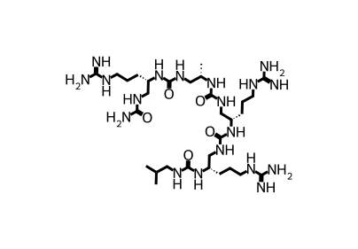 CC(C)CNC(=O)N[C@@H](CCCNC(=N)N)CNC(=O)N[C@@H](CCCNC(=N)N)CNC(=O)N[C@@H](C)CNC(=O)N[C@@H](CCCNC(=N)N)CNC(N)=O